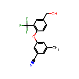 Cc1cc(C#N)cc(Oc2ccc(CO)cc2C(F)(F)F)c1